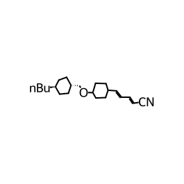 CCCC[C@H]1CC[C@H](COC2CCC(C=CC=CC#N)CC2)CC1